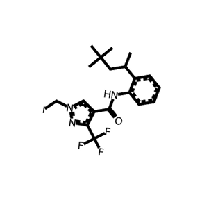 CC(CC(C)(C)C)c1ccccc1NC(=O)c1cn(CI)nc1C(F)(F)F